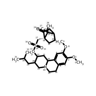 COc1cc2c(cc1OC)C1CC(OS(=O)(=O)C[C@]34CCC(CC3=O)C4(C)C)C(CC(C)C)CN1CC2